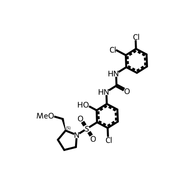 COC[C@@H]1CCCN1S(=O)(=O)c1c(Cl)ccc(NC(=O)Nc2cccc(Cl)c2Cl)c1O